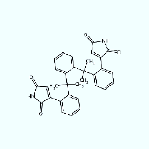 CC(C)(c1ccccc1C1=CC(=O)NC1=O)c1ccccc1C(C)(C)c1ccccc1C1=CC(=O)NC1=O